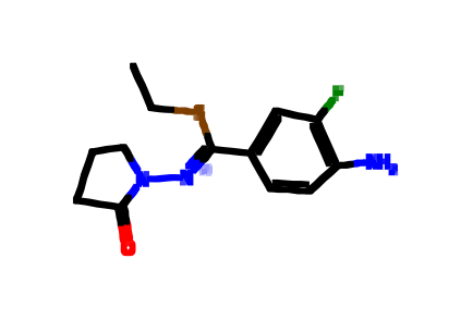 CCS/C(=N\N1CCCC1=O)c1ccc(N)c(F)c1